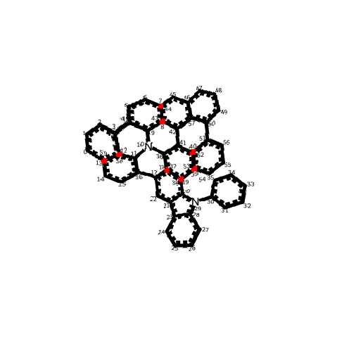 c1ccc(-c2ccccc2N(c2ccccc2-c2ccc3c(c2)c2ccccc2n3-c2ccccc2)c2ccccc2-c2cccc3cccc(-c4ccccc4)c23)cc1